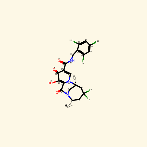 C[C@H]1CC(F)(F)C[C@H]2CN1C(=O)c1c(O)c(=O)c(C(=O)NCc3c(F)cc(F)cc3F)cn12